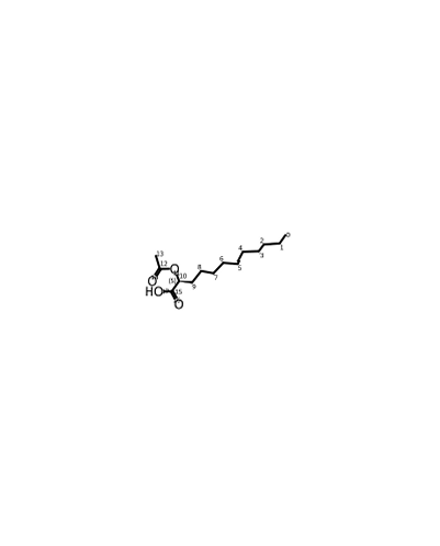 CCCCCCCCCC[C@H](OC(C)=O)C(=O)O